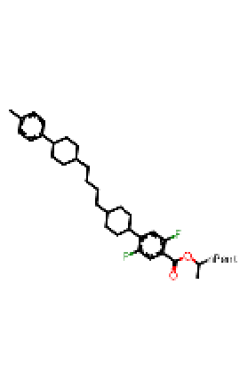 CCCCCC(C)OC(=O)c1cc(F)c(C2CCC(CCCCC3CCC(c4ccc(C)cc4)CC3)CC2)cc1F